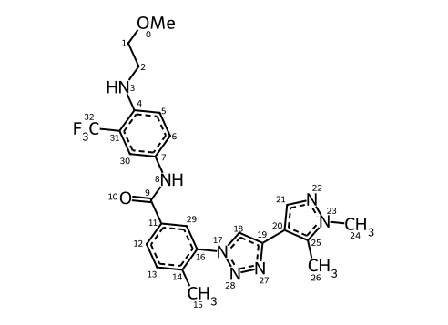 COCCNc1ccc(NC(=O)c2ccc(C)c(-n3cc(-c4cnn(C)c4C)nn3)c2)cc1C(F)(F)F